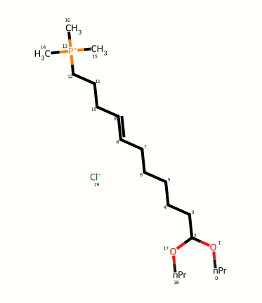 CCCOC(CCCCC/C=C/CCC[P+](C)(C)C)OCCC.[Cl-]